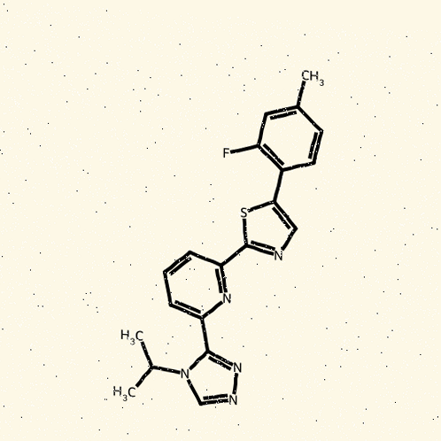 Cc1ccc(-c2cnc(-c3cccc(-c4nncn4C(C)C)n3)s2)c(F)c1